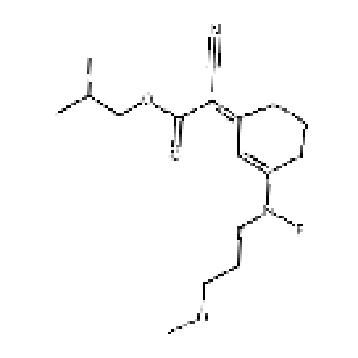 COCCCN(F)C1=C/C(=C(/C#N)C(=O)OCC(C)C)CCC1